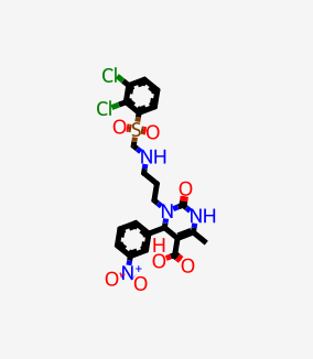 CC1=C(C(=O)O)C(c2cccc([N+](=O)[O-])c2)N(CCCNCS(=O)(=O)c2cccc(Cl)c2Cl)C(=O)N1